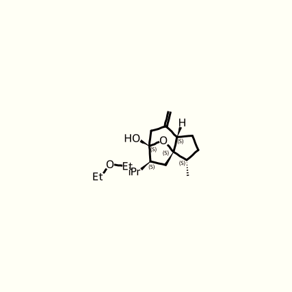 C=C1C[C@]2(O)O[C@@]3(C[C@H]2C(C)C)[C@@H](C)CC[C@@H]13.CCOCC